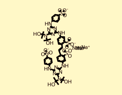 CC(C)(O)N(c1nc(Nc2ccc(S(=O)(=O)[O-])cc2)nc(Nc2ccc(C=Cc3ccc(Nc4nc(Nc5ccc(S(=O)(=O)[O-])cc5)nc(N(C(C)(C)O)C(C)(C)O)n4)cc3S(=O)(=O)[O-])c(S(=O)(=O)[O-])c2)n1)C(C)(C)O.[Na+].[Na+].[Na+].[Na+]